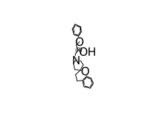 O[C@@H](COc1ccccc1)CN1CCC2(CCc3ccccc3O2)CC1